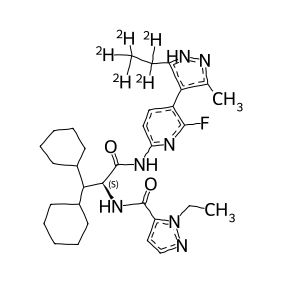 [2H]C([2H])([2H])C([2H])([2H])c1[nH]nc(C)c1-c1ccc(NC(=O)[C@@H](NC(=O)c2ccnn2CC)C(C2CCCCC2)C2CCCCC2)nc1F